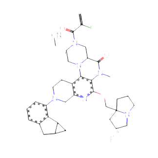 C=C(F)C(=O)N1CC2C(=O)N(C)c3c(OCC45CCCN4C[C@H](F)C5)nc4c(c3N2C[C@@H]1CC#N)CCN(c1cccc2c1C1CC1C2)C4